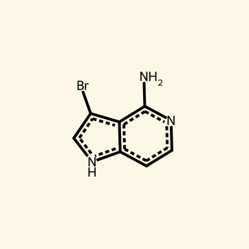 Nc1nccc2[nH]cc(Br)c12